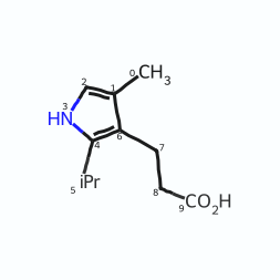 Cc1c[nH]c(C(C)C)c1CCC(=O)O